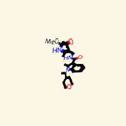 COc1cc(=O)c(CNC(=O)c2c(C)n(C(C)C3CCOCC3)c3ccccc23)c(C)[nH]1